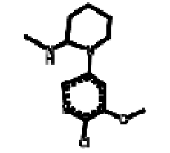 CNC1CCCCN1c1cnc(Cl)c(OC)c1